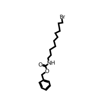 O=C(NCCCCCCCCCCBr)OCc1ccccc1